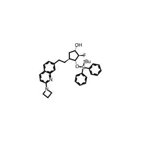 CC(C)(C)[Si](O[C@@H]1[C@@H](CCc2ccc3ccc(N4CCC4)nc3c2)C[C@H](O)[C@H]1F)(c1ccccc1)c1ccccc1